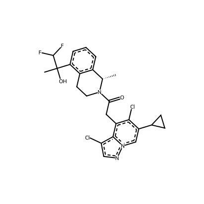 C[C@H]1c2cccc(C(C)(O)C(F)F)c2CCN1C(=O)Cc1c(Cl)c(C2CC2)cn2ncc(Cl)c12